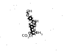 CCOC(=O)c1cn(C)c2nc3c(F)c(N4CCNC(c5ccc(OCCO)cc5)C4)c(F)cc3cc2c1=O